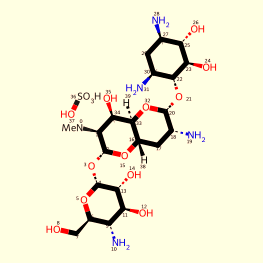 CN[C@@H]1[C@@H](O[C@H]2O[C@H](CO)[C@@H](N)[C@H](O)[C@H]2O)O[C@H]2C[C@@H](N)[C@@H](O[C@H]3[C@H](O)[C@@H](O)[C@H](N)C[C@@H]3N)O[C@@H]2[C@@H]1O.O=S(=O)(O)O